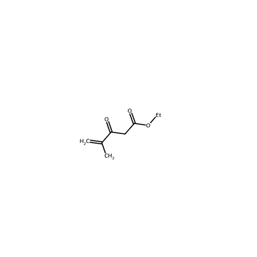 C=C(C)C(=O)CC(=O)OCC